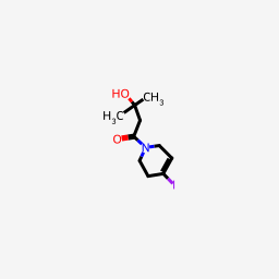 CC(C)(O)CC(=O)N1CC=C(I)CC1